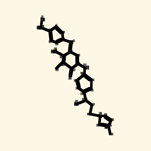 CCNc1ccc(/N=C2/C=C(Nc3ccc(N(CC)CCn4cc[n+](C)c4)cc3)C(=O)C(C)=C2O)cc1